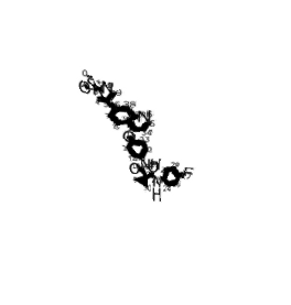 C[S+]([O-])n1cc(-c2ccc3c(Oc4ccc(NC(=O)C5(C(=O)Nc6ccc(F)cc6)CC5)cc4)ccnc3c2)cn1